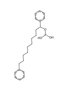 OP(O)OC(CCCCCCCCCc1ccccc1)c1ccccc1